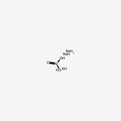 O=[Si](O)O.[BaH2].[KH].[NaH]